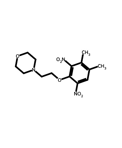 Cc1cc([N+](=O)[O-])c(OCCN2CCOCC2)c([N+](=O)[O-])c1C